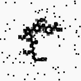 C#C/C=C\C=C(/C)COC(=O)NCc1c(-c2ccc(O[C@H]3CCC[C@H](C(=O)O)C3)c(CC)n2)nnn1C